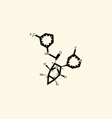 O=C(Nc1cccc(C(F)(F)F)c1)[C@H]1[C@@H]2O[C@@H]([C@H]3C[C@H]32)[C@@H]1c1ccnc(F)c1